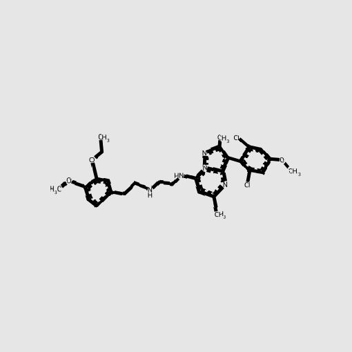 CCOc1cc(CCNCCNc2cc(C)nc3c(-c4c(Cl)cc(OC)cc4Cl)c(C)nn23)ccc1OC